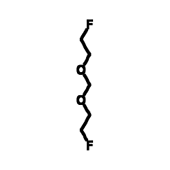 FCCOCOCCF